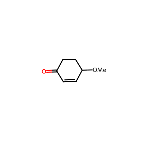 COC1C=CC(=O)CC1